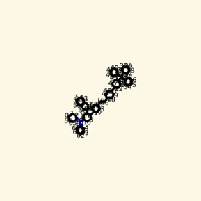 C1=CCC(N(C2=CC3=C(CC2)c2ccc(/C=C/C4=CCC(C5=CC=C(C(c6ccccc6)(c6ccccc6)c6ccccc6)CC5)C=C4)cc2C32Cc3ccccc3C2)c2ccccc2)C=C1